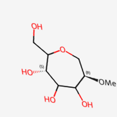 CO[C@@H]1COC(CO)[C@@H](O)C(O)C1O